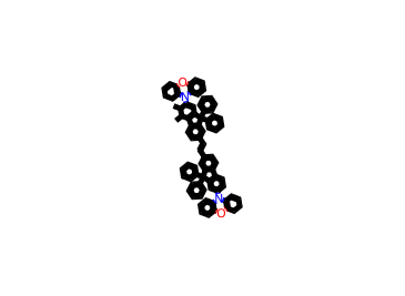 CC1C(N2C3=C(C=CCC3)Oc3ccccc32)=CC2=C(c3ccc(/C=C/c4ccc5c(c4)C(c4ccccc4)(c4ccccc4)c4cc(N6C7=C(CCC=C7)Oc7ccccc76)ccc4-5)cc3C2(c2ccccc2)c2ccccc2)C1C